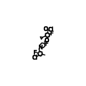 Cc1cc(Cl)c(F)c(CN2CCC(F)(COc3cc(F)c(C(=O)Cl)cc3C3CC3)CC2)c1